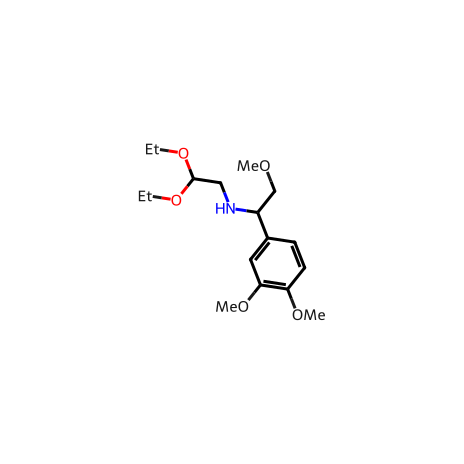 CCOC(CNC(COC)c1ccc(OC)c(OC)c1)OCC